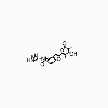 Cc1c(-c2cc3cc(C(=O)Nc4c[nH]nn4)ccc3o2)oc(=O)c(C)c1O